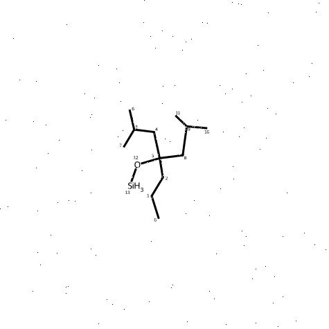 CCCC(CC(C)C)(CC(C)C)O[SiH3]